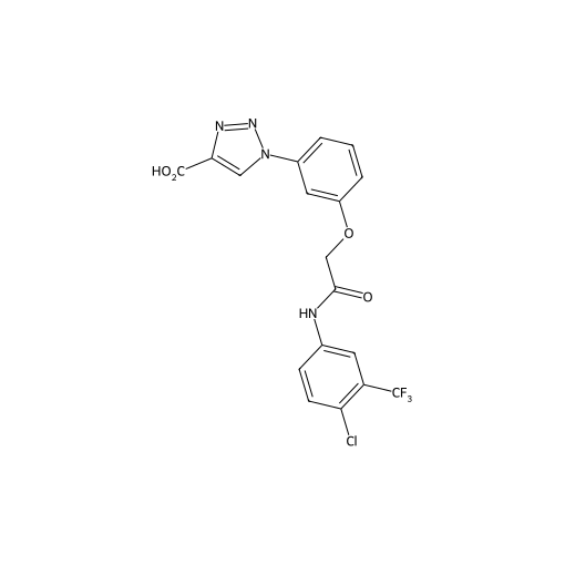 O=C(COc1cccc(-n2cc(C(=O)O)nn2)c1)Nc1ccc(Cl)c(C(F)(F)F)c1